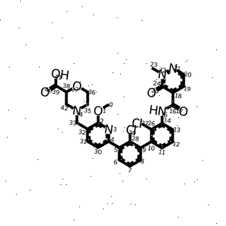 COc1nc(-c2cccc(-c3cccc(NC(=O)c4ccnn(C)c4=O)c3Cl)c2Cl)ccc1CN1CCOC(C(=O)O)C1